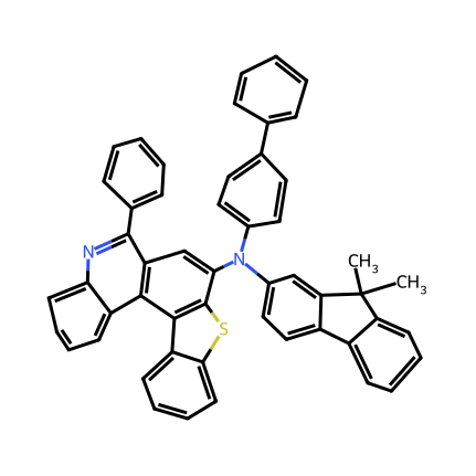 CC1(C)c2ccccc2-c2ccc(N(c3ccc(-c4ccccc4)cc3)c3cc4c(-c5ccccc5)nc5ccccc5c4c4c3sc3ccccc34)cc21